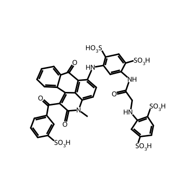 Cn1c(=O)c(C(=O)c2cccc(S(=O)(=O)O)c2)c2c3c(c(Nc4cc(NC(=O)CNc5cc(S(=O)(=O)O)ccc5S(=O)(=O)O)c(S(=O)(=O)O)cc4S(=O)(=O)O)ccc31)C(=O)c1ccccc1-2